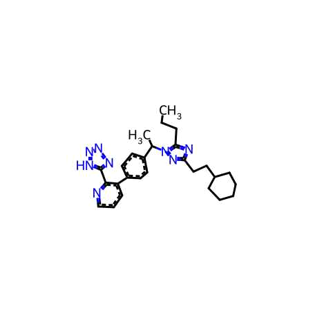 CCCc1nc(CCC2CCCCC2)nn1C(C)c1ccc(-c2cccnc2-c2nnn[nH]2)cc1